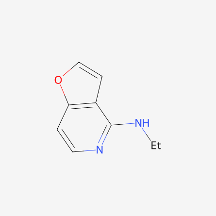 CCNc1nccc2occc12